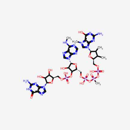 CNc1ncnc2c1ncn2[C@@H]1O[C@H](COP(=O)(O)OP(C)(=O)OP(=O)(O)OC[C@H]2O[C@@H](n3c[n+](C)c4c(O)nc(N)nc43)C(C)C2C)C(OP(=O)(O)OC[C@H]2O[C@@H](n3cnc4c(=O)[nH]c(N)nc43)C(O)C2O)C1O